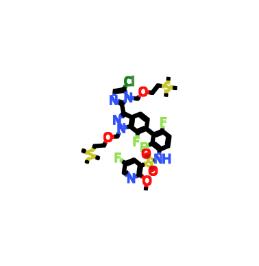 COc1ncc(F)cc1S(=O)(=O)Nc1ccc(F)c(-c2ccc3c(-c4ncc(Cl)n4COCCS(C)(C)C)nn(COCCS(C)(C)C)c3c2F)c1F